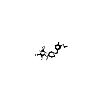 CCOc1cc(CN2CCC(Nc3nc(Cl)nc(Cl)c3Cl)CC2)ccc1C